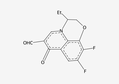 CCC1COc2c(F)c(F)cc3c(=O)c(C=O)cn1c23